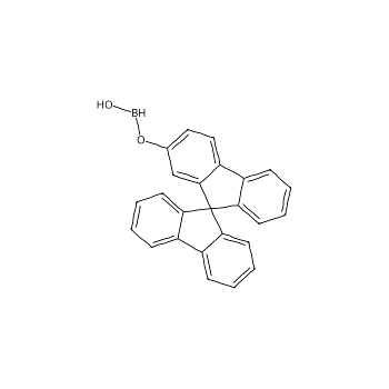 OBOc1ccc2c(c1)C1(c3ccccc3-c3ccccc31)c1ccccc1-2